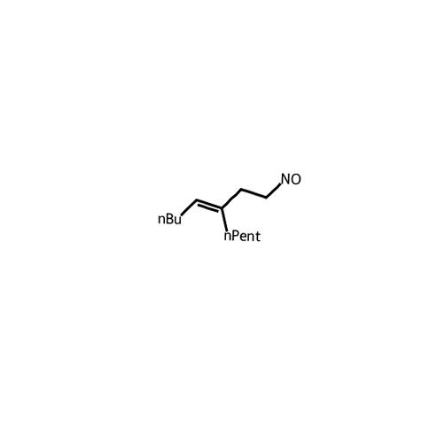 CCCC/C=C(\CCCCC)CCN=O